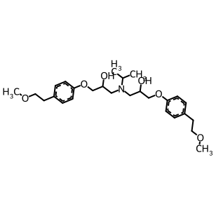 COCCc1ccc(OCC(O)CN(CC(O)COc2ccc(CCOC)cc2)C(C)C)cc1